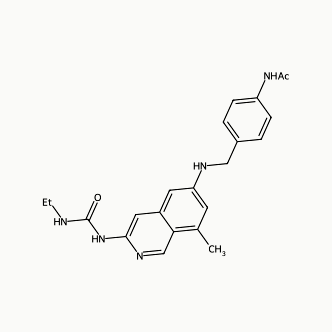 CCNC(=O)Nc1cc2cc(NCc3ccc(NC(C)=O)cc3)cc(C)c2cn1